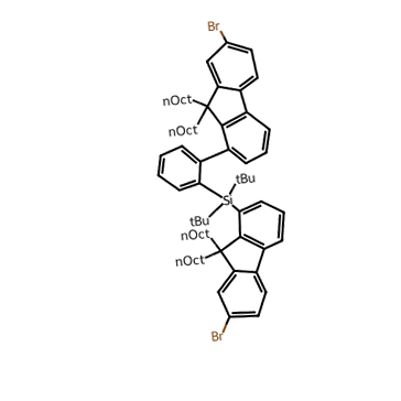 CCCCCCCCC1(CCCCCCCC)c2cc(Br)ccc2-c2cccc(-c3ccccc3[Si](c3cccc4c3C(CCCCCCCC)(CCCCCCCC)c3cc(Br)ccc3-4)(C(C)(C)C)C(C)(C)C)c21